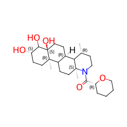 C[C@@H]1CCN(C(=O)[C@H]2CCCCO2)[C@@]2(C)CCC3[C@@H](CC[C@@]4(O)C(O)[C@@H](O)CC[C@]34C)C12